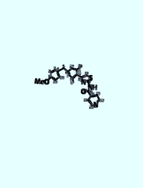 COc1ccc(Cc2cc(C)c(-c3csc(NC(=O)c4ccncc4)n3)c(C)c2)cc1